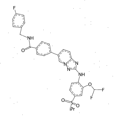 CC(C)S(=O)(=O)c1ccc(Nc2nc3ccc(-c4ccc(C(=O)NCc5ccc(F)cc5)cc4)cn3n2)c(OC(F)F)c1